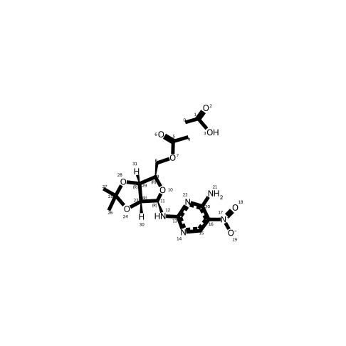 CC(=O)O.CC(=O)OC[C@H]1O[C@@H](Nc2ncc([N+](=O)[O-])c(N)n2)[C@@H]2OC(C)(C)O[C@@H]21